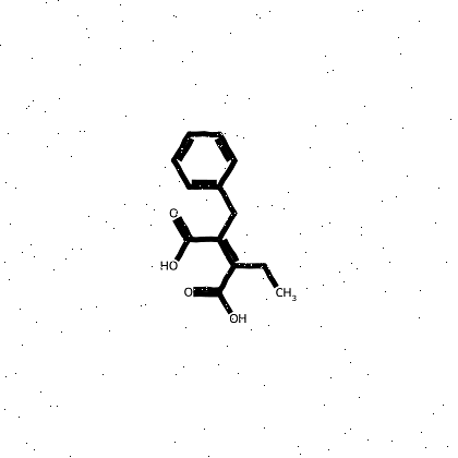 CC/C(C(=O)O)=C(\Cc1ccccc1)C(=O)O